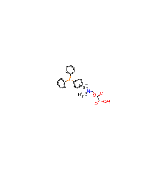 CN(C)COC(=O)C(=O)O.c1ccc(P(c2ccccc2)c2ccccc2)cc1